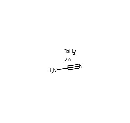 N#CN.[PbH2].[Zn]